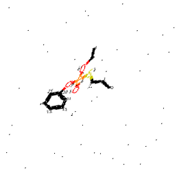 CCCSP(=O)(OCC)Oc1ccccc1